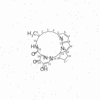 CC1CCCc2ccc3ccn(c3n2)C2(CCCC2)Cn2cc(O)c(=O)c(n2)C(=O)NC1